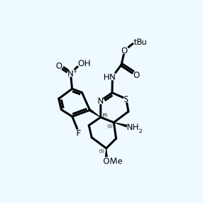 CO[C@H]1CC[C@]2(c3cc([N+](=O)O)ccc3F)N=C(NC(=O)OC(C)(C)C)SC[C@]2(N)C1